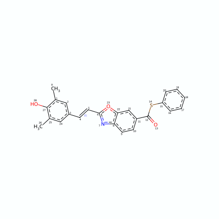 Cc1cc(/C=C/c2nc3ccc(C(=O)Sc4ccccc4)cc3o2)cc(C)c1O